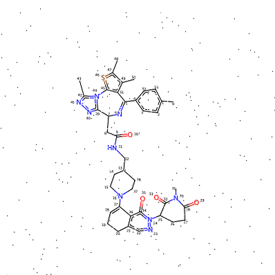 Cc1ccc(C2=NC(CC(=O)NCC3CCN(C4=CCCc5cnn(C6CCC(=O)N(C)C6=O)c(=O)c54)CC3)c3nnc(C)n3-c3sc(C)c(C)c32)cc1